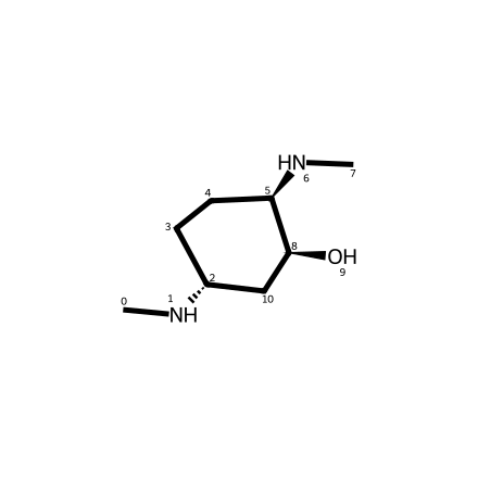 CN[C@@H]1CC[C@@H](NC)[C@@H](O)C1